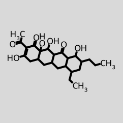 CCCC1CC(CC)C2CC3CC4CC(O)=C(C(C)=O)C(=O)C4(O)C(O)C3C(=O)C2C1O